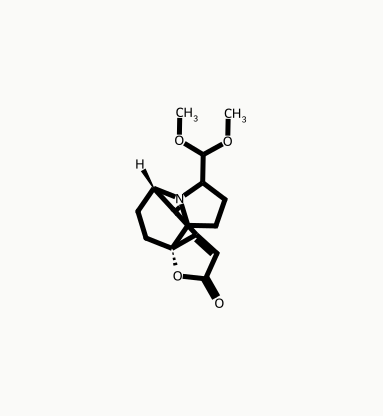 COC(OC)C1CCC2N1[C@@H]1C=CC3=CC(=O)O[C@@]32CC1